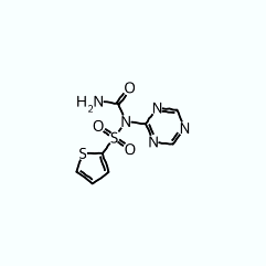 NC(=O)N(c1ncncn1)S(=O)(=O)c1cccs1